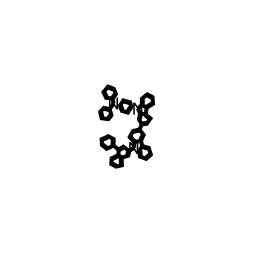 c1ccc(-c2cc(-n3c4ccccc4c4cc(-c5ccc6c7ccccc7n(-c7ccc(N(c8ccccc8)c8ccccc8)cc7)c6c5)ccc43)cc3ccccc23)cc1